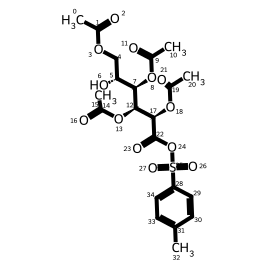 CC(=O)OC[C@@H](O)[C@@H](OC(C)=O)[C@H](OC(C)=O)[C@@H](OC(C)=O)C(=O)OS(=O)(=O)c1ccc(C)cc1